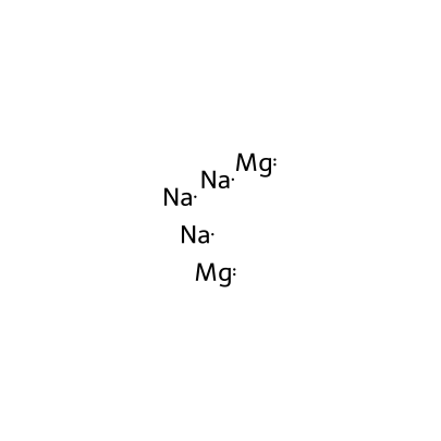 [Mg].[Mg].[Na].[Na].[Na]